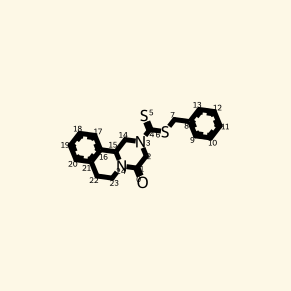 O=C1CN(C(=S)SCc2ccccc2)CC2c3ccccc3CCN12